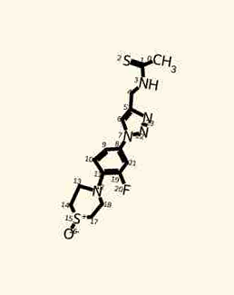 CC(=S)NCc1cn(-c2ccc(N3CC[S+]([O-])CC3)c(F)c2)nn1